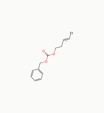 CC/C=C/CCOC(=O)OCc1ccccc1